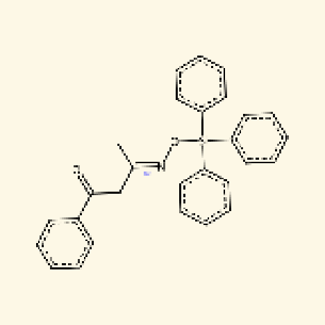 C/C(CC(=O)c1ccccc1)=N\O[Si](c1ccccc1)(c1ccccc1)c1ccccc1